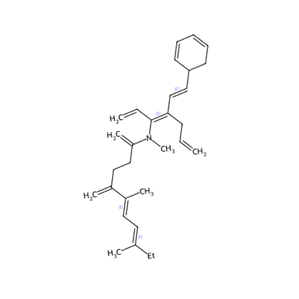 C=CCC(/C=C/C1C=CC=CC1)=C(/C=C)N(C)C(=C)CCC(=C)/C(C)=C/C=C(\C)CC